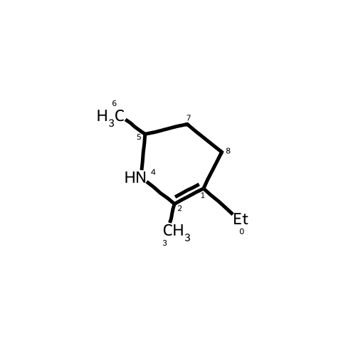 CCC1=C(C)NC(C)CC1